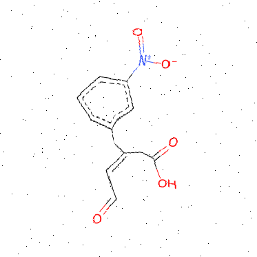 O=CC=C(C(=O)O)c1cccc([N+](=O)[O-])c1